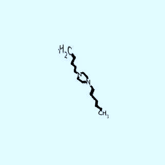 [CH2]CCCCN1CCN(CCCCCC)CC1